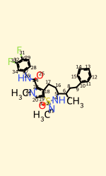 CN=S1(=O)NC(C(C)CCc2ccccc2)CCc2c1cn(C)c2C(=O)Nc1ccc(F)c(F)c1